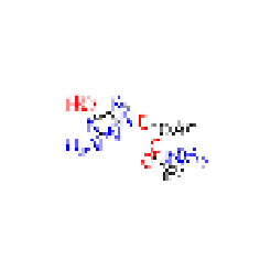 CC(=O)OCC(COC(=O)[C@@H](N)C(C)C)OCn1cnc2c(O)nc(N)nc21